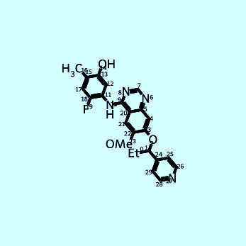 CCC(Oc1cc2ncnc(Nc3cc(O)c(C)cc3F)c2cc1OC)c1ccncc1